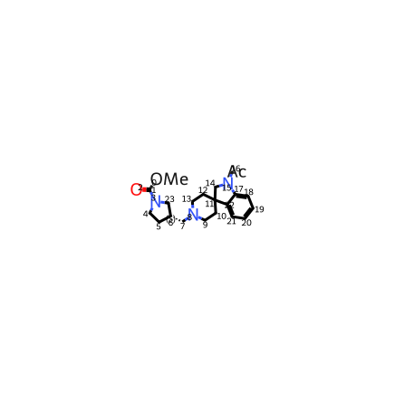 COC(=O)N1CC[C@@H](CN2CCC3(CC2)CN(C(C)=O)c2ccccc23)C1